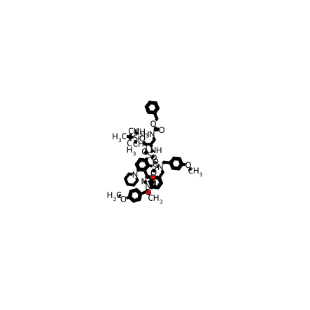 COc1ccc(CN(Cc2ccc(OC)cc2)S(=O)(=O)c2c(S(=O)(=O)NC(CNC(=O)OCc3ccccc3)CO[Si](C)(C)C(C)(C)C)ccc(N3CCCCC3)c2-c2nnn(Cc3ccc(OC)cc3)n2)cc1